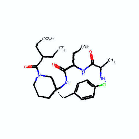 COCC(NC(=O)C(C)N)C(=O)N[C@@]1(Cc2ccc(Cl)cc2)CCCN(C(=O)C(CC(=O)O)CC(F)(F)F)C1